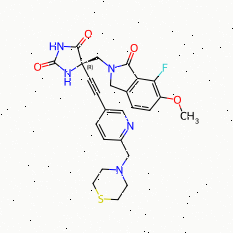 COc1ccc2c(c1F)C(=O)N(C[C@@]1(C#Cc3ccc(CN4CCSCC4)nc3)NC(=O)NC1=O)C2